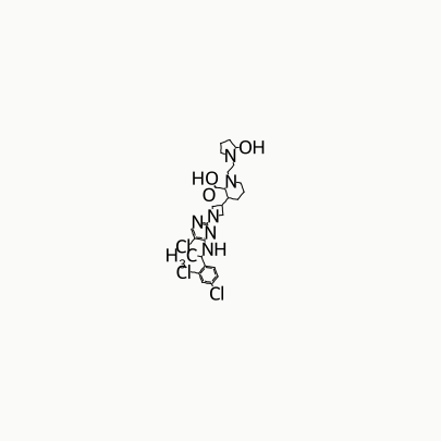 CC(Nc1nc(N2CC(C3CCCN(CCN4CCCC4O)C3C(=O)O)C2)ncc1Cl)c1ccc(Cl)cc1Cl